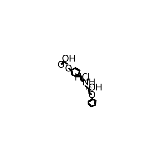 Cl.O=C(O)COc1ccc(CCNC[C@H](O)COc2ccccc2)cc1